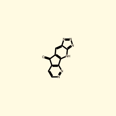 O=C1c2ccnnc2-c2[nH]c3nnnc-3cc21